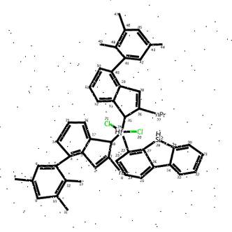 CCCC1=Cc2c(-c3cc(C)cc(C)c3C)cccc2[CH]1[Hf]([Cl])([Cl])([c]1cccc2c1[SiH2]c1ccccc1-2)[CH]1C(CCC)=Cc2c(-c3cc(C)cc(C)c3C)cccc21